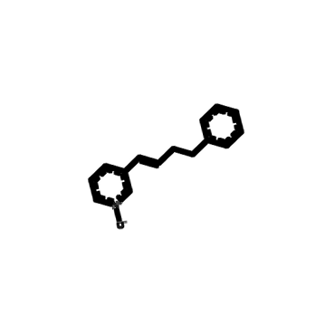 [O-][n+]1cccc(C=CCCc2ccccc2)c1